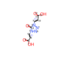 O=C(O)/C=C/n1nnn(/C=C/C(=O)O)c1=O